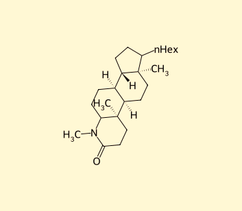 CCCCCCC1CC[C@H]2[C@@H]3CCC4N(C)C(=O)CC[C@]4(C)[C@@H]3CC[C@]12C